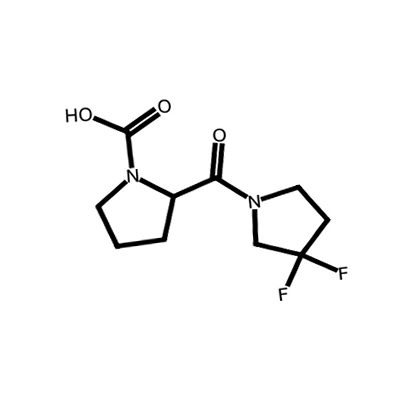 O=C(C1CCCN1C(=O)O)N1CCC(F)(F)C1